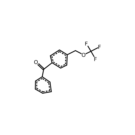 O=C(c1ccccc1)c1ccc(COC(F)(F)F)cc1